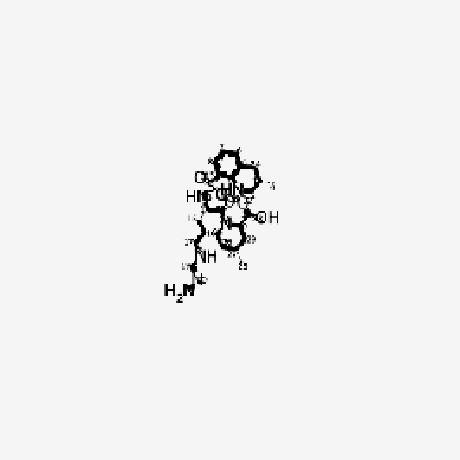 C[C@@H]1CNc2c(cccc2S(=O)(=O)N[C@@H](CCCNC=NN)C(=O)N2CC[C@@H](C)C[C@@H]2C(=O)O)C1